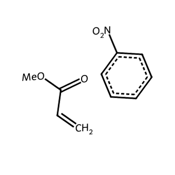 C=CC(=O)OC.O=[N+]([O-])c1ccccc1